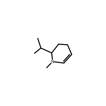 CC(C)C1CCC=CN1C